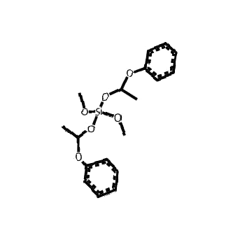 CO[Si](OC)(OC(C)Oc1ccccc1)OC(C)Oc1ccccc1